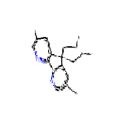 CCCC1(CCC)c2cc(C)cnc2-c2ncc(C)cc21